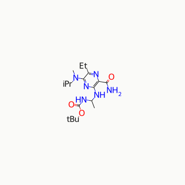 CCc1nc(C(N)=O)c(NC(C)NC(=O)OC(C)(C)C)nc1N(C)C(C)C